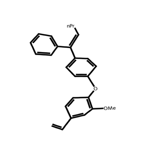 C=Cc1ccc(Oc2ccc(/C(=C/CCC)c3ccccc3)cc2)c(OC)c1